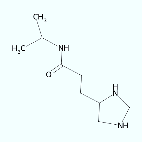 CC(C)NC(=O)CCC1CNCN1